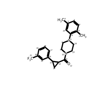 Cc1ccc(C)c(N2CCN(C(=O)C3CC3c3cccc(C(F)(F)F)c3)CC2)c1